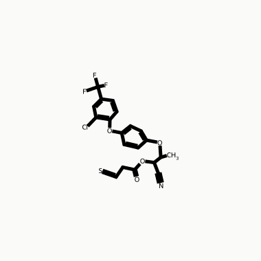 CC(Oc1ccc(Oc2ccc(C(F)(F)F)cc2Cl)cc1)C(C#N)OC(=O)CC=S